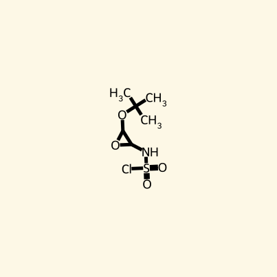 CC(C)(C)OC1OC1NS(=O)(=O)Cl